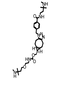 CNC(C)(C)CCNC(=O)c1ccc(Cn2nnc3c2CC[C@H]2[C@@H](CC3)[C@H]2COC(=O)NCCOCCC(C)(C)NC)cc1